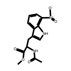 COC(=O)C(Cc1c[nH]c2c([N+](=O)[O-])cccc12)NC(C)=O